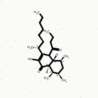 CCCCCC[C@@H](C)C1=C(O)C(=O)[C@@H]2[C@H](C)[C@H](C)C[C@H](C)[C@H]2C1C(=O)CCC